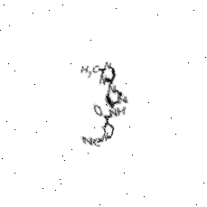 Cc1nccc(-n2cnc(NC(=O)C3CCN(C#N)C3)c2)n1